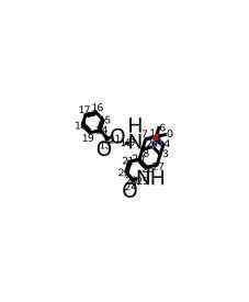 C/C=C1\C2C=C(C)CC1(NCOC(=O)c1ccccc1)c1ccc(=O)[nH]c1C2